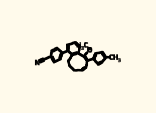 CO/C1=C(c2ccc(C)cc2)/C=C\CCCc2c1cccc2-c1ccc(C#N)cc1